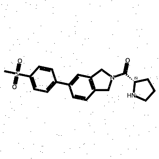 CS(=O)(=O)c1ccc(-c2ccc3c(c2)CN(C(=O)[C@@H]2CCCN2)C3)cc1